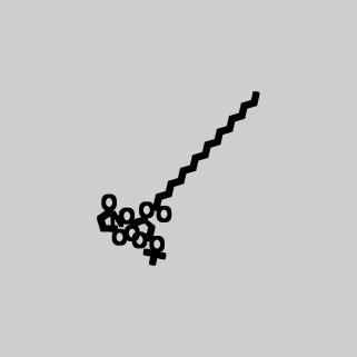 CCCCCCCCCCCCCCCCCC(=O)O[C@@H](CC(=O)OC(C)(C)C)C(=O)ON1C(=O)CCC1=O